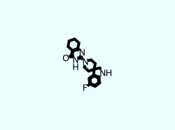 O=c1[nH]c(N2CCC3(CC2)CNc2ccc(F)cc23)nc2c1CCCC2